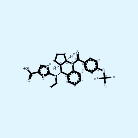 CCN(c1nc(C(=O)O)co1)[C@H]1c2ccccc2N(C(=O)c2ccc(OC(F)(F)F)cc2)[C@@H]2CCC[C@@H]21